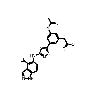 CC(=O)Nc1cc(CC(=O)O)cc(-c2nnc(Nc3ccc4[nH]ncc4c3Cl)s2)c1